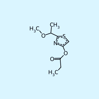 CCC(=O)Oc1csc(C(C)OC)n1